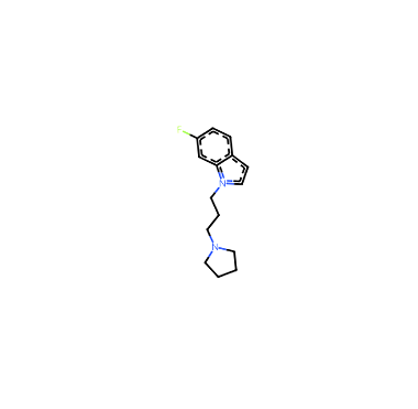 Fc1ccc2ccn(CCCN3CCCC3)c2c1